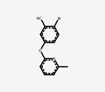 Cc1cccc(Oc2ccc(Br)c(C#N)c2)n1